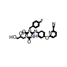 N#Cc1cccc(OC2=CCC(/N=c3\[nH]c(=O)n(C[C@H](O)CO)c(=O)n3Cc3ccc(F)cc3)C=C2)n1